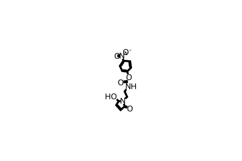 O=C(NCCN1C(=O)C=CC1O)Oc1ccc([N+](=O)[O-])cc1